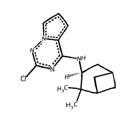 CC1(C)C2CC(C2)C[C@@H]1Nc1nc(Cl)nn2cccc12